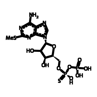 CSc1nc(N)c2ncn([C@@H]3O[C@H](CO[P@](O)(=S)OP(=O)(O)O)[C@@H](O)C3O)c2n1